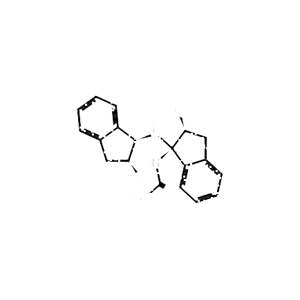 O=C(O)N[C@]1(N[C@@H]2c3ccccc3C[C@@H]2O)c2ccccc2C[C@@H]1O